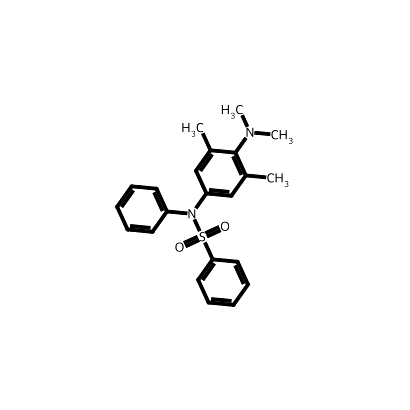 Cc1cc(N(c2ccccc2)S(=O)(=O)c2ccccc2)cc(C)c1N(C)C